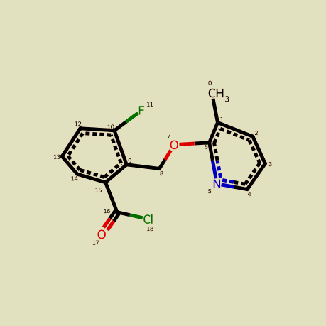 Cc1cccnc1OCc1c(F)cccc1C(=O)Cl